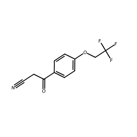 N#CCC(=O)c1ccc(OCC(F)(F)F)cc1